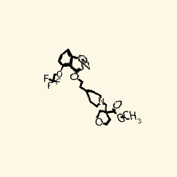 COC(=O)C1(CN2CCC(CCOc3noc4cccc(OCC(F)(F)F)c34)CC2)CCOCC1